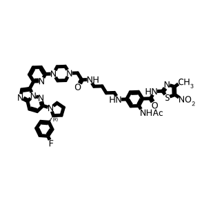 CC(=O)Nc1cc(NCCCCNC(=O)CN2CCN(c3cccc(-c4cnc5ccc(N6CCC[C@@H]6c6cccc(F)c6)nn45)n3)CC2)ccc1C(=O)Nc1nc(C)c([N+](=O)[O-])s1